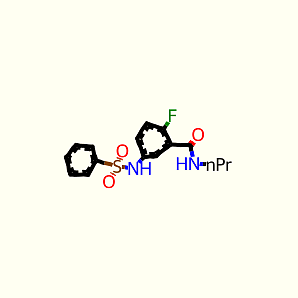 CCCNC(=O)c1cc(NS(=O)(=O)c2ccccc2)ccc1F